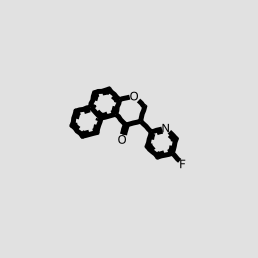 O=C1c2c(ccc3ccccc23)OCC1c1ccc(F)cn1